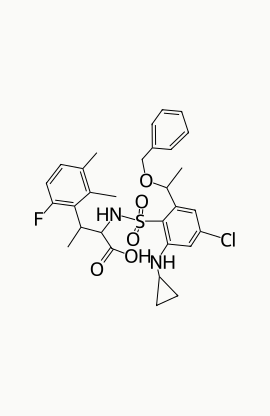 Cc1ccc(F)c(C(C)C(NS(=O)(=O)c2c(NC3CC3)cc(Cl)cc2C(C)OCc2ccccc2)C(=O)O)c1C